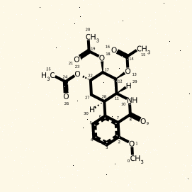 COc1cccc2c1C(=O)N[C@H]1[C@H](OC(C)=O)[C@H](OC(C)=O)[C@@H](OC(C)=O)C[C@H]21